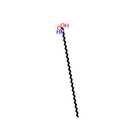 CCCCCCCCCCCCCCCCCCCCCCCCCCCCCCCCCCCCCCCCCNCC(=O)O